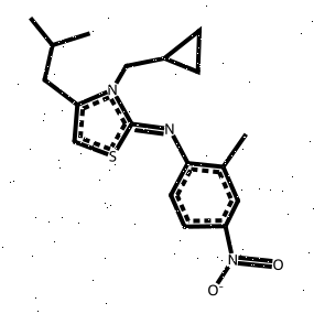 Cc1cc([N+](=O)[O-])ccc1N=c1scc(CC(C)C)n1CC1CC1